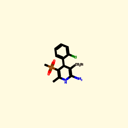 CCOC(=O)C1=C(N)NC(C)=C(S(C)(=O)=O)C1c1ccccc1Cl